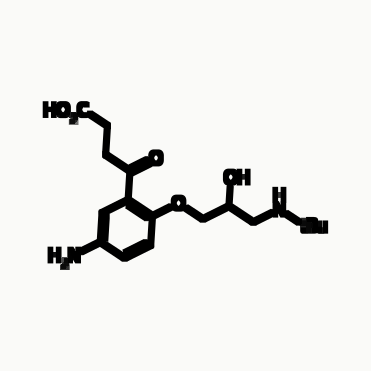 CC(C)(C)NCC(O)COc1ccc(N)cc1C(=O)CCC(=O)O